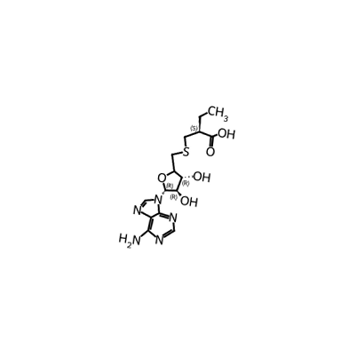 CC[C@H](CSCC1O[C@@H](n2cnc3c(N)ncnc32)[C@H](O)[C@H]1O)C(=O)O